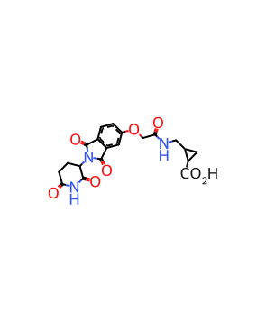 O=C(COc1ccc2c(c1)C(=O)N(C1CCC(=O)NC1=O)C2=O)NCC1CC1C(=O)O